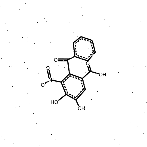 O=C(O)c1cc(O)c(O)c([N+](=O)[O-])c1C(=O)c1ccccc1